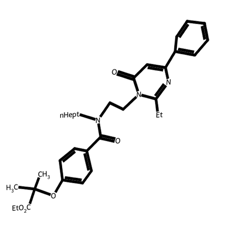 CCCCCCCN(CCn1c(CC)nc(-c2ccccc2)cc1=O)C(=O)c1ccc(OC(C)(C)C(=O)OCC)cc1